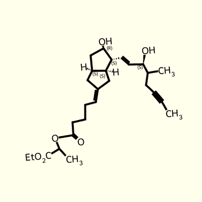 CC#CCC(C)[C@H](O)C=C[C@@H]1[C@H]2CC(=CCCCC(=O)OC(C)C(=O)OCC)C[C@H]2C[C@H]1O